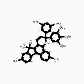 COc1cc(OC)cc(C2(c3cc(OC)c(OC)c(OC)c3)C=Cc3c4c(c5ccc(C)cc5c3O2)-c2ccc(C)cc2C4(C)C)c1